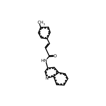 Cc1ccc(/C=C/C(=O)Nc2cnc3ccccc3c2)cc1